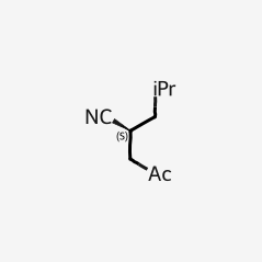 CC(=O)C[C@@H](C#N)CC(C)C